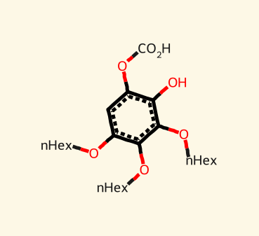 CCCCCCOc1cc(OC(=O)O)c(O)c(OCCCCCC)c1OCCCCCC